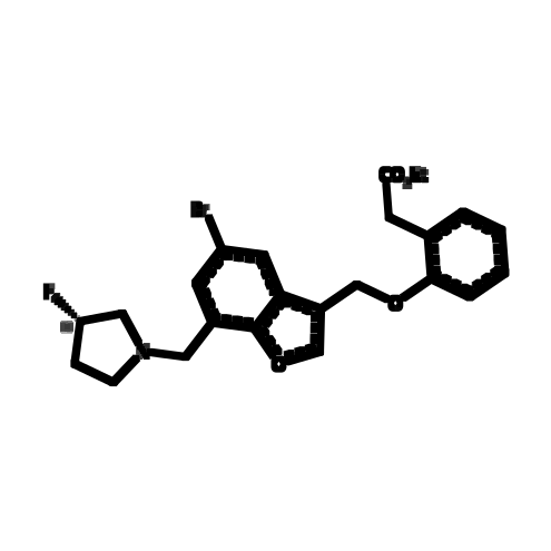 CCOC(=O)Cc1ccccc1OCc1coc2c(CN3CC[C@H](F)C3)cc(Br)cc12